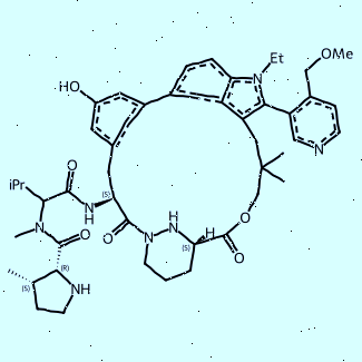 CCn1c(-c2cnccc2COC)c2c3cc(ccc31)-c1cc(O)cc(c1)C[C@H](NC(=O)C(C(C)C)N(C)C(=O)[C@@H]1NCC[C@@H]1C)C(=O)N1CCC[C@H](N1)C(=O)OCC(C)(C)C2